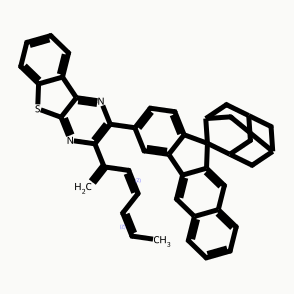 C=C(/C=C\C=C/C)c1nc2sc3ccccc3c2nc1-c1ccc2c(c1)-c1cc3ccccc3cc1C21C2CC3CC(C2)CC1C3